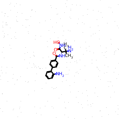 CC(C)(N)[C@H](NC(=O)c1ccc(-c2ccccc2N)cc1)C(=O)NO